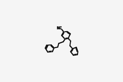 N#Cc1ccc(CCc2ccccc2)c(CCCc2cc#ccc2)c1